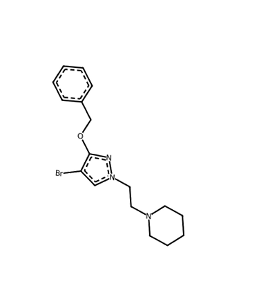 Brc1cn(CCN2CCCCC2)nc1OCc1ccccc1